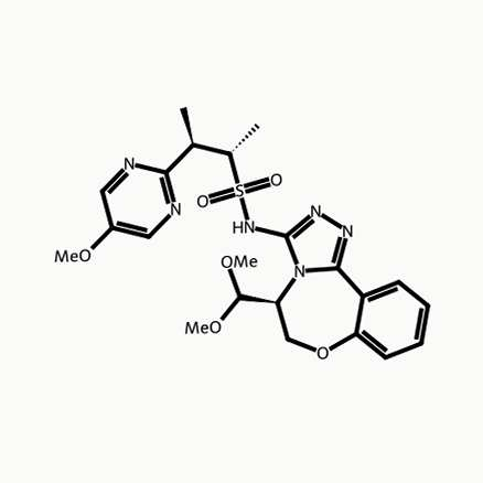 COc1cnc([C@@H](C)[C@H](C)S(=O)(=O)Nc2nnc3n2[C@H](C(OC)OC)COc2ccccc2-3)nc1